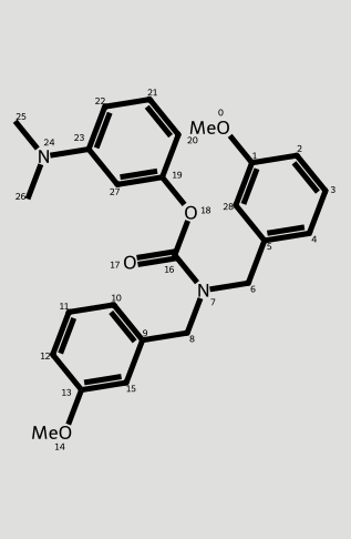 COc1cccc(CN(Cc2cccc(OC)c2)C(=O)Oc2cccc(N(C)C)c2)c1